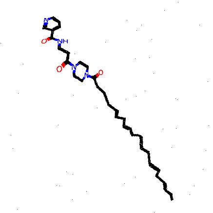 CCC=CCC=CCC=CCC=CCC=CCCCC(=O)N1CCN(C(=O)CCNC(=O)c2cccnc2)CC1